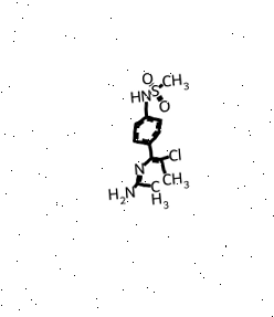 C/C(N)=N\C(=C(/C)Cl)c1ccc(NS(C)(=O)=O)cc1